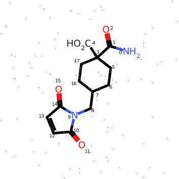 NC(=O)C1(C(=O)O)CCC(CN2C(=O)C=CC2=O)CC1